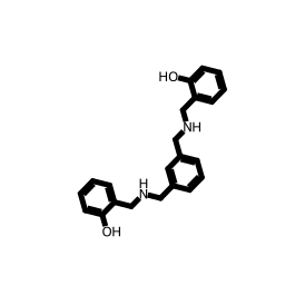 Oc1ccccc1CNCc1cccc(CNCc2ccccc2O)c1